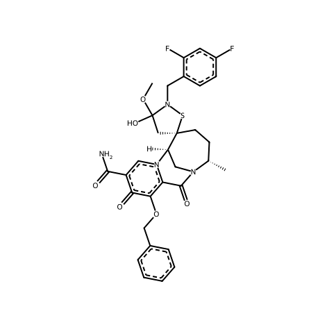 COC1(O)C[C@@]2(CC[C@H](C)N3C[C@H]2n2cc(C(N)=O)c(=O)c(OCc4ccccc4)c2C3=O)SN1Cc1ccc(F)cc1F